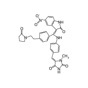 CN1C(=O)NC(=O)/C1=C/c1ccc(N/C(=C2\C(=O)Nc3ccc([N+](=O)[O-])cc32)c2ccc(CCN3CCCC3=O)cc2)cc1